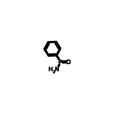 N[P](=O)c1ccccc1